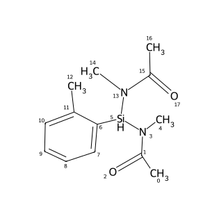 CC(=O)N(C)[SiH](c1ccccc1C)N(C)C(C)=O